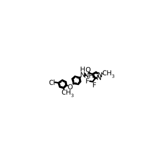 Cc1cc(Cl)ccc1Oc1ccc(NNC(=O)c2cn(C)nc2C(F)F)cc1